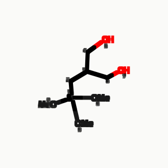 CO[Si](CC(CO)CO)(OC)OC